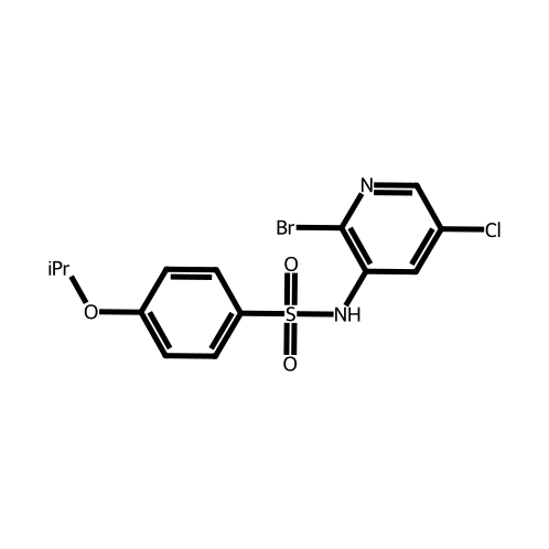 CC(C)Oc1ccc(S(=O)(=O)Nc2cc(Cl)cnc2Br)cc1